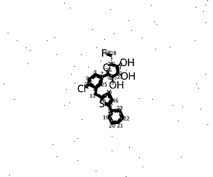 O[C@H]1[C@H](O)[C@@H](O)C(c2ccc(Cl)c(Cc3ccc(-c4ccccc4)s3)c2)O[C@@H]1CF